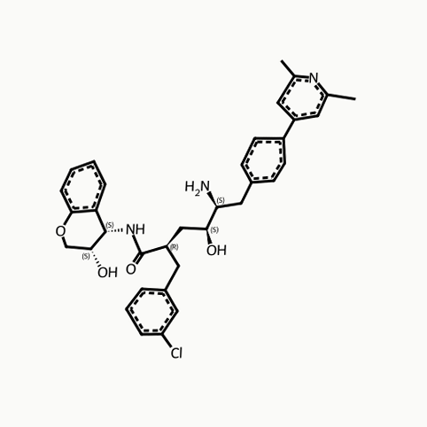 Cc1cc(-c2ccc(C[C@H](N)[C@@H](O)C[C@@H](Cc3cccc(Cl)c3)C(=O)N[C@H]3c4ccccc4OC[C@H]3O)cc2)cc(C)n1